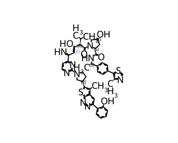 Cc1ncsc1-c1ccc([C@H](C)NC(=O)[C@@H]2C[C@@H](O)CN2C(=O)[C@@H](/C(O)=C/C(=N)c2ccnc(N3CC[C@@H](c4sc5nnc(-c6ccccc6O)cc5c4C)C3)n2)C(C)C)cc1